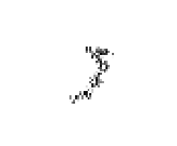 CCOC(=O)CCc1ccc(OCc2cccc(OCC(=O)N(C)C)c2)c(F)c1